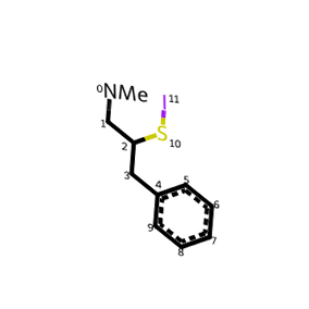 CNCC(Cc1ccccc1)SI